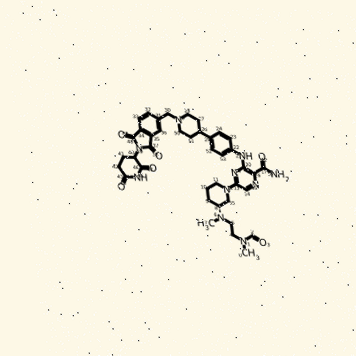 CN(C=O)CCN(C)[C@@H]1CCCN(c2cnc(C(N)=O)c(Nc3ccc(C4CCN(Cc5ccc6c(c5)C(=O)N(C5CCC(=O)NC5=O)C6=O)CC4)cc3)n2)C1